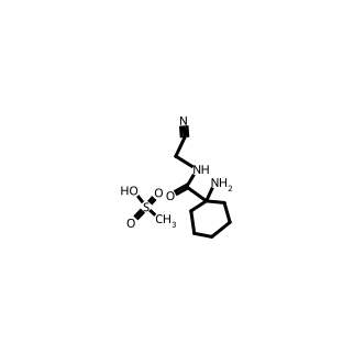 CS(=O)(=O)O.N#CCNC(=O)C1(N)CCCCC1